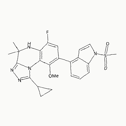 COc1c(-c2cccc3c2ccn3S(C)(=O)=O)cc(F)c2c1-n1c(C3CC3)nnc1C(C)(C)N2